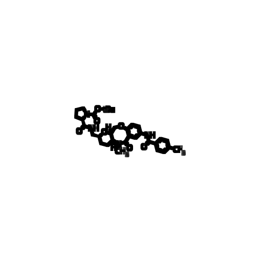 CN1C(=O)c2cc(NC(=O)c3ccc(C(F)(F)F)cc3)ccc2OC[C@@H]2O[C@H](CNC(=O)[C@H]3CCCN3C(=O)OC(C)(C)C)CC[C@@H]21